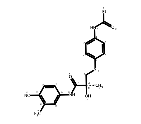 CCC(=O)Nc1ccc(SC[C@@](C)(O)C(=O)Nc2ccc(C#N)c(C(F)(F)F)c2)cc1